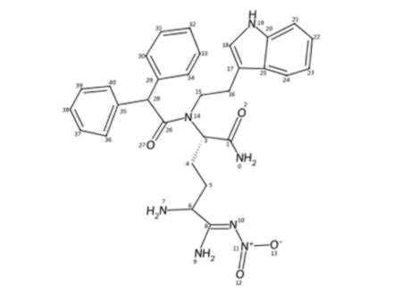 NC(=O)[C@H](CCC(N)C(N)=N[N+](=O)[O-])N(CCc1c[nH]c2ccccc12)C(=O)C(c1ccccc1)c1ccccc1